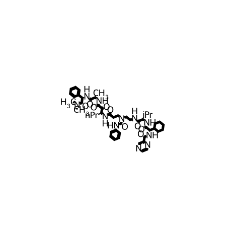 CCC[C@H](NC(=O)CCN(CCNC(=O)[C@@H](NC(=O)[C@@H](NC(=O)c1cnccn1)C1CCCCC1)C(C)C)C(=O)Nc1ccccc1)C(=O)C(=O)N[C@@H](C)C(=O)N[C@H](C(=O)N(C)C)c1ccccc1